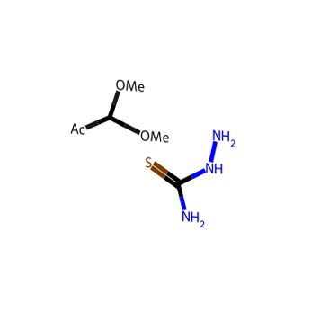 COC(OC)C(C)=O.NNC(N)=S